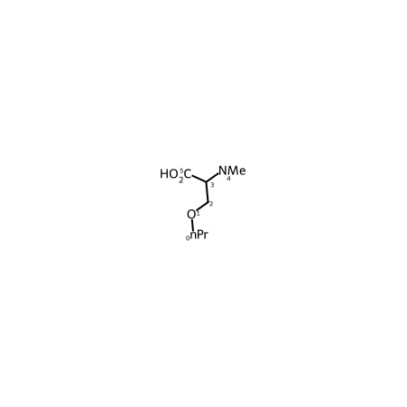 CCCOCC(NC)C(=O)O